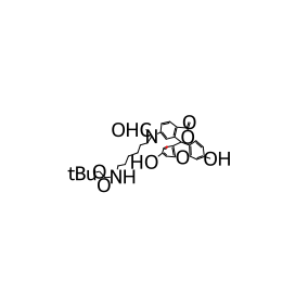 CC(C)(C)OC(=O)NCCCCCCN(C=O)c1ccc2c(c1)C1(OC2=O)c2ccc(O)cc2Oc2cc(O)ccc21